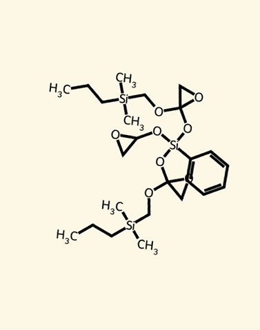 CCC[Si](C)(C)COC1(O[Si](OC2CO2)(OC2(OC[Si](C)(C)CCC)CO2)c2ccccc2)CO1